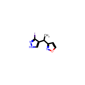 CC(c1ccon1)c1c[nH]nc1I